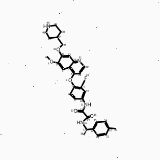 COc1cc2c(Oc3ccc(NC(=O)C(=O)N[C@H](C)c4ccc(C)cc4)cc3F)ccnc2cc1OCC1CCNCC1